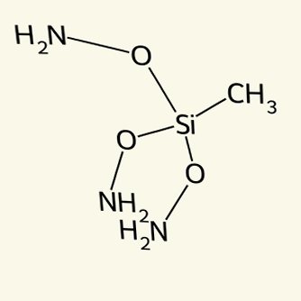 C[Si](ON)(ON)ON